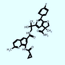 Cc1ccc2cc(C(=O)NCC(O)(c3cc4c(c(-c5ccc(F)cc5)n3)OC[C@]4(C)C(N)=O)C(F)(F)F)cc(NC(=O)C3CC3)c2n1